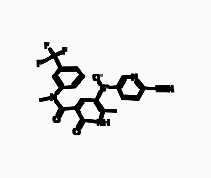 Cc1[nH]c(=O)c(C(=O)N(C)c2cccc(C(F)(F)F)c2)cc1[S+]([O-])c1ccc(C#N)nc1